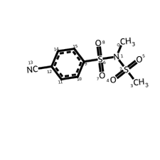 CN(S(C)(=O)=O)S(=O)(=O)c1ccc(C#N)cc1